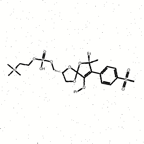 CC[C@]1(C)OC2(OC[C@H](COP(=O)(O)OCC[N+](C)(C)C)O2)C(OC(C)C)=C1c1ccc(S(C)(=O)=O)cc1